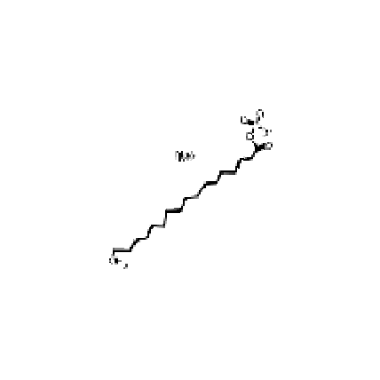 CCCCCCCCCCCCCCCCCC(=O)OP(=O)([O-])[O-].[Na+].[Na+]